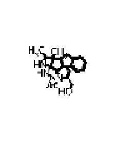 CC(=O)N1[C@H](CO)C[C@]23c4ccccc4CC2C2(C)C(C)NC24NNC143